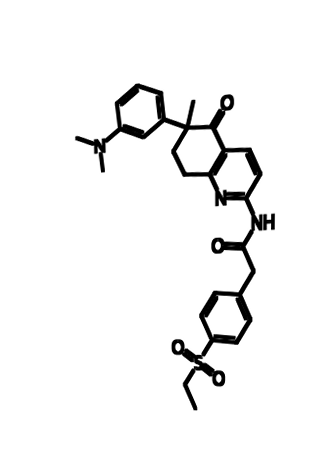 CCS(=O)(=O)c1ccc(CC(=O)Nc2ccc3c(n2)CCC(C)(c2cccc(N(C)C)c2)C3=O)cc1